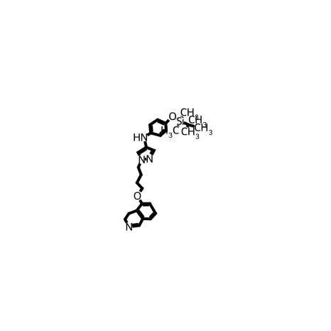 CC(C)(C)[Si](C)(C)Oc1ccc(Nc2cnn(CCCCOc3cccc4c3CCN=C4)c2)cc1